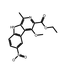 CCOC(=O)c1nc(C)c2[nH]c3ccc([N+](=O)[O-])cc3c2c1OC